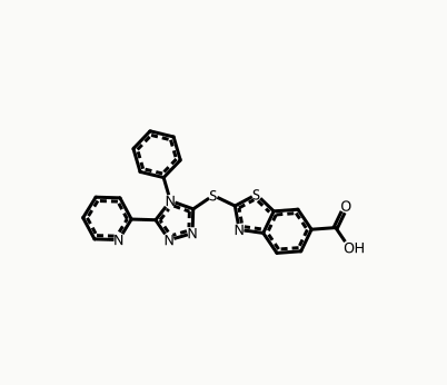 O=C(O)c1ccc2nc(Sc3nnc(-c4ccccn4)n3-c3ccccc3)sc2c1